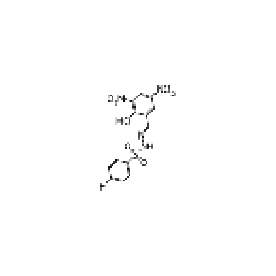 O=[N+]([O-])c1cc(/C=N/NS(=O)(=O)c2ccc(F)cc2)c(O)c([N+](=O)[O-])c1